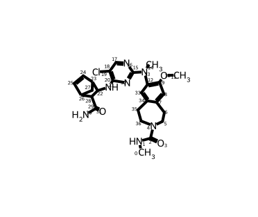 CNC(=O)N1CCc2cc(OC)c(N(C)c3ncc(Cl)c(NC4C5C=CC(C5)C4C(N)=O)n3)cc2CC1